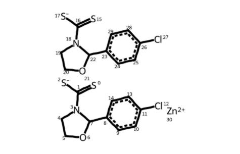 S=C([S-])N1CCOC1c1ccc(Cl)cc1.S=C([S-])N1CCOC1c1ccc(Cl)cc1.[Zn+2]